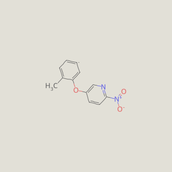 Cc1cc[c]cc1Oc1ccc([N+](=O)[O-])nc1